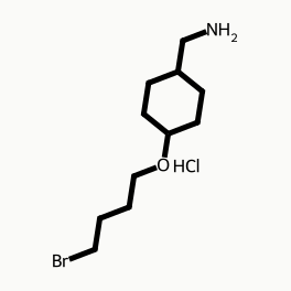 Cl.NCC1CCC(OCCCCBr)CC1